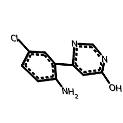 Nc1ccc(Cl)cc1-c1cc(O)ncn1